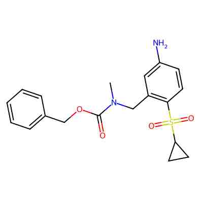 CN(Cc1cc(N)ccc1S(=O)(=O)C1CC1)C(=O)OCc1ccccc1